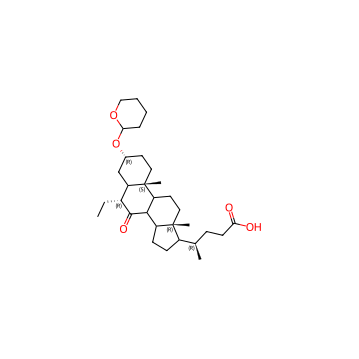 CC[C@H]1C(=O)C2C3CCC([C@H](C)CCC(=O)O)[C@@]3(C)CCC2[C@@]2(C)CC[C@@H](OC3CCCCO3)CC12